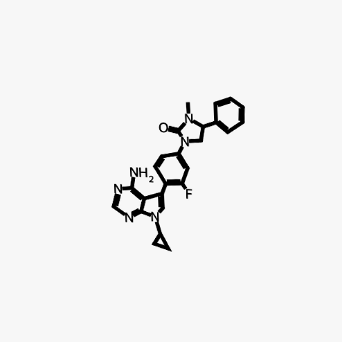 CN1C(=O)N(c2ccc(-c3cn(C4CC4)c4ncnc(N)c34)c(F)c2)CC1c1ccccc1